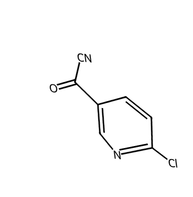 N#CC(=O)c1ccc(Cl)nc1